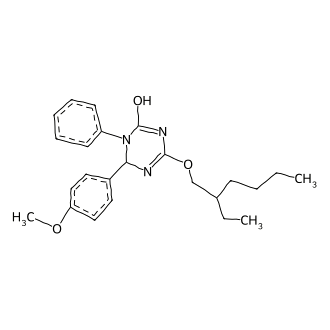 CCCCC(CC)COC1=NC(c2ccc(OC)cc2)N(c2ccccc2)C(O)=N1